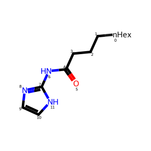 CCCCCCCCCC(=O)Nc1ncc[nH]1